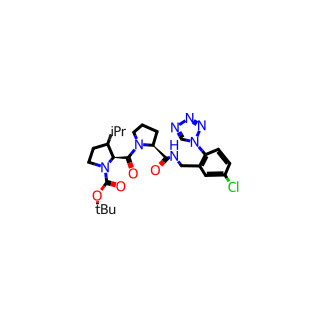 CC(C)C1CCN(C(=O)OC(C)(C)C)[C@@H]1C(=O)N1CCC[C@H]1C(=O)NCc1cc(Cl)ccc1-n1cnnn1